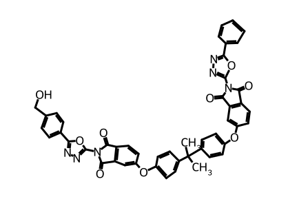 CC(C)(c1ccc(Oc2ccc3c(c2)C(=O)N(c2nnc(-c4ccccc4)o2)C3=O)cc1)c1ccc(Oc2ccc3c(c2)C(=O)N(c2nnc(-c4ccc(CO)cc4)o2)C3=O)cc1